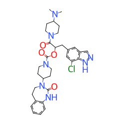 CN(C)C1CCN(C(=O)C(Cc2cc(Cl)c3[nH]ncc3c2)OC(=O)N2CCC(N3CCc4ccccc4NC3=O)CC2)CC1